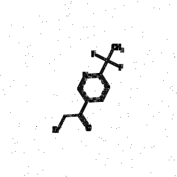 CC(F)(F)c1ccc(C(=O)CBr)cn1